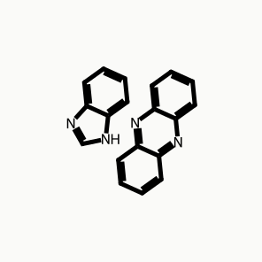 c1ccc2[nH]cnc2c1.c1ccc2nc3ccccc3nc2c1